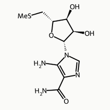 CSC[C@H]1O[C@@H](n2cnc(C(N)=O)c2N)[C@H](O)[C@@H]1O